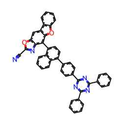 N#Cc1nc2c(-c3ccc(-c4ccc(-c5nc(-c6ccccc6)nc(-c6ccccc6)n5)cc4)c4ccccc34)c3oc4ccccc4c3cc2o1